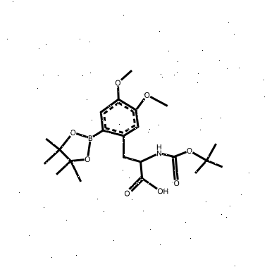 COc1cc(CC(NC(=O)OC(C)(C)C)C(=O)O)c(B2OC(C)(C)C(C)(C)O2)cc1OC